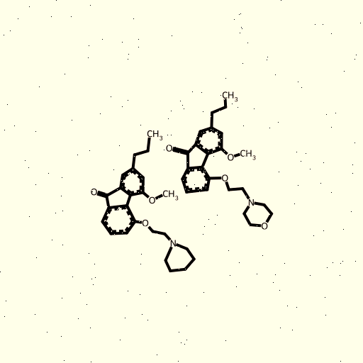 CCCc1cc(OC)c2c(c1)C(=O)c1cccc(OCCN3CCCCC3)c1-2.CCCc1cc(OC)c2c(c1)C(=O)c1cccc(OCCN3CCOCC3)c1-2